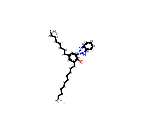 CCCCCCCCCCCc1cc(CCCCCCCC)cc(-n2nc3ccccc3n2)c1O